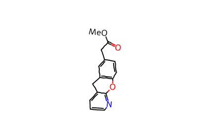 COC(=O)Cc1ccc2c(c1)Cc1cccnc1O2